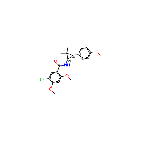 COc1ccc([C@@H]2[C@@H](NC(=O)c3cc(Cl)c(OC)cc3OC)C2(C)C)cc1